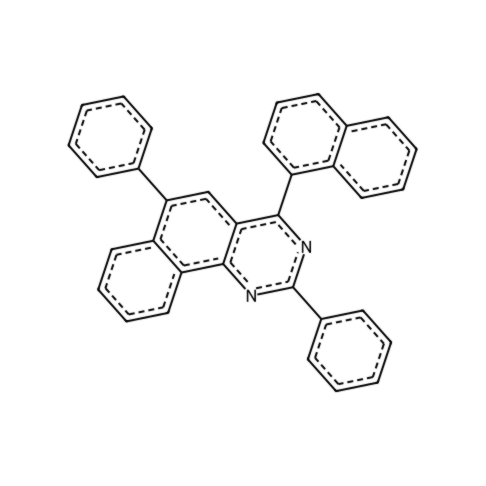 c1ccc(-c2nc(-c3cccc4ccccc34)c3cc(-c4ccccc4)c4ccccc4c3n2)cc1